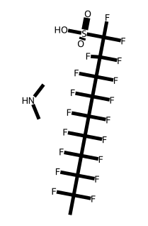 CC(F)(F)C(F)(F)C(F)(F)C(F)(F)C(F)(F)C(F)(F)C(F)(F)C(F)(F)C(F)(F)S(=O)(=O)O.CNC